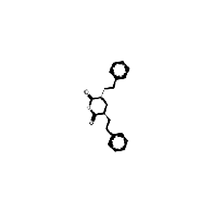 O=C1OC(=O)[C@H](CCc2ccccc2)C[C@H]1CCc1ccccc1